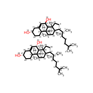 CC(C)CCC[C@@H](C)[C@H]1CC[C@H]2[C@@H]3C(O)C=C4C[C@@H](O)CC[C@]4(C)[C@H]3CC[C@]12C.CC(C)CCC[C@@H](C)[C@H]1CC[C@H]2[C@@H]3[C@@H](O)C=C4C[C@@H](O)CC[C@]4(C)[C@H]3CC[C@]12C